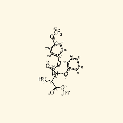 CC(C)OC(=O)C(C)N(Oc1ccccc1)[PH](=O)Oc1ccc(OC(F)(F)F)cc1